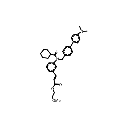 COCCOC(=O)/C=C/c1cccc(N(Cc2ccc(-c3ccc(N(C)C)cc3)cc2)C(=O)C2CCCCC2)c1